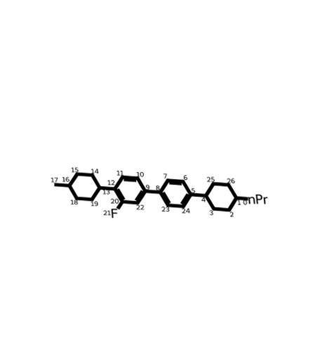 CCCC1CCC(c2ccc(-c3ccc(C4CCC(C)CC4)c(F)c3)cc2)CC1